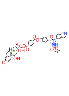 C[C@@H]1C[C@H]2[C@@H]3CCC4=CC(=O)C=C[C@]4(C)[C@@]3(F)[C@@H](O)C[C@]2(C)[C@@]1(O)C(=O)COC(=O)c1ccc(C(=O)OCc2ccc([C@@H](CNC(=O)OC(C)(C)C)C(=O)Nc3ccc4cnccc4c3)cc2)cc1